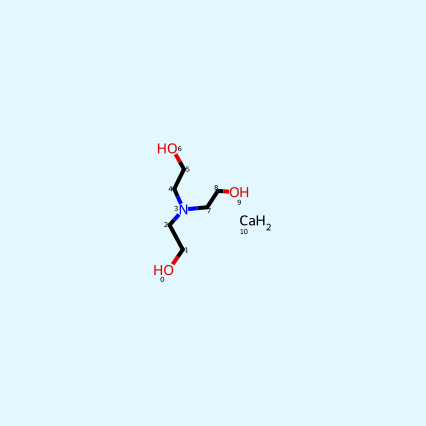 OCCN(CCO)CCO.[CaH2]